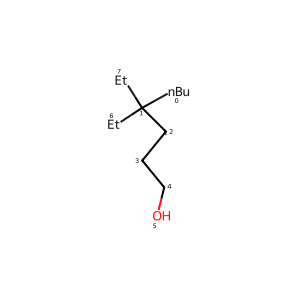 CCCCC([CH]CCO)(CC)CC